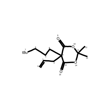 C=CCC1(CCCC(C)(C)C)C(=O)OC(C)(C)OC1=O